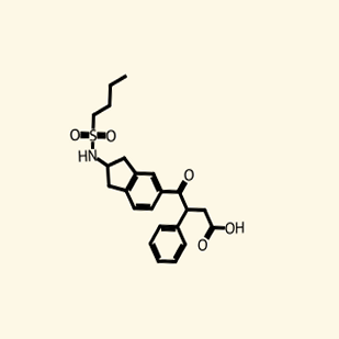 CCCCS(=O)(=O)NC1Cc2ccc(C(=O)C(CC(=O)O)c3ccccc3)cc2C1